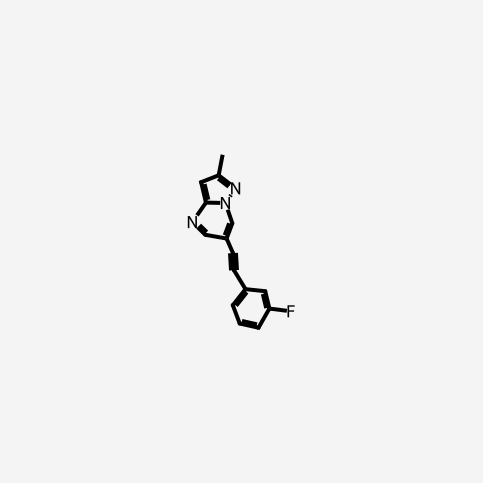 Cc1cc2ncc(C#Cc3cccc(F)c3)cn2n1